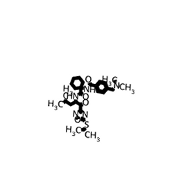 CC(C)CC(NC(=O)C1(NC(=O)c2ccc(CN(C)C)cc2)CCCCC1)C(=O)c1noc(SC(C)C)n1